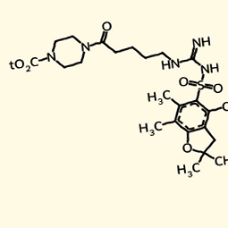 CCOC(=O)N1CCN(C(=O)CCCCNC(=N)NS(=O)(=O)c2c(C)c(C)c3c(c2C)CC(C)(C)O3)CC1